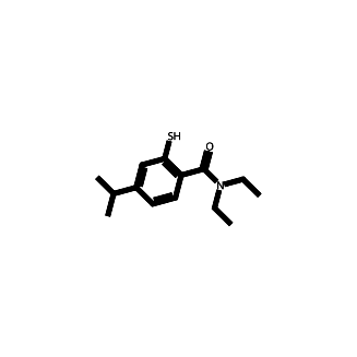 CCN(CC)C(=O)c1ccc(C(C)C)cc1S